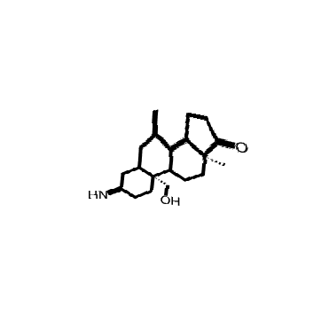 C=C1CC2CC(=N)CC[C@]2(CO)C2CC[C@]3(C)C(=O)CCC3C12